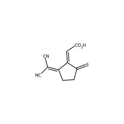 N#CC(C#N)=C1CCC(=S)/C1=C\C(=O)O